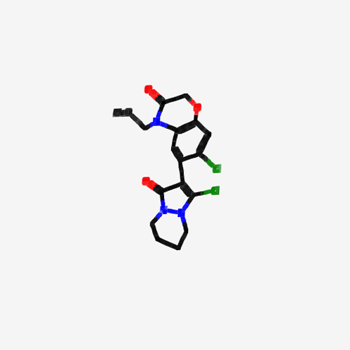 COCN1C(=O)COc2cc(Cl)c(-c3c(Cl)n4n(c3=O)CCCC4)cc21